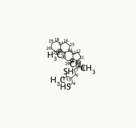 CC(S)C(CS)CCC(C)C1CCC2C3CCC4CCCCC4(C)C3CCC12C